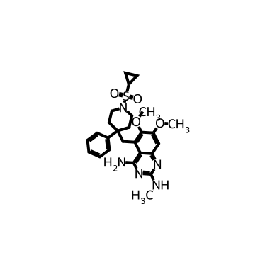 CNc1nc(N)c2c(CC3(c4ccccc4)CCN(S(=O)(=O)C4CC4)CC3)c(OC)c(OC)cc2n1